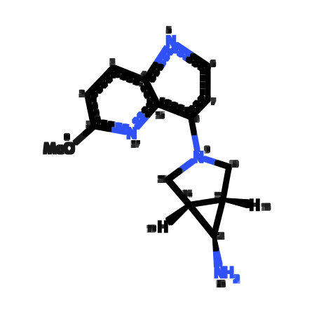 COc1ccc2nccc(N3C[C@@H]4[C@@H](N)[C@@H]4C3)c2n1